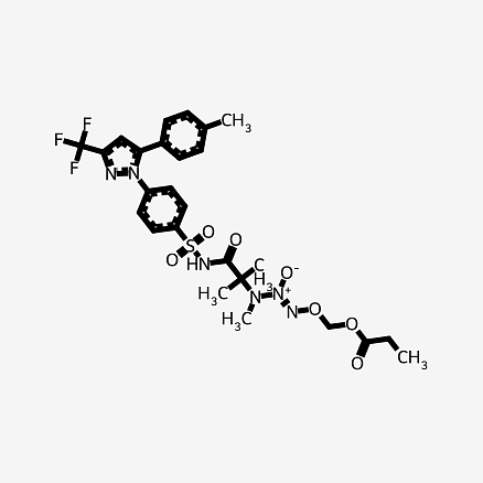 CCC(=O)OCON=[N+]([O-])N(C)C(C)(C)C(=O)NS(=O)(=O)c1ccc(-n2nc(C(F)(F)F)cc2-c2ccc(C)cc2)cc1